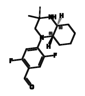 CC1(C)CN(c2cc(F)c(C=O)cc2F)[C@H]2CCCC[C@@H]2N1